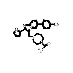 N#Cc1ccc(-c2ccc3nc(-c4ccco4)c(CN4CCCN(C(=O)C(F)(F)F)CC4)n3c2)cc1